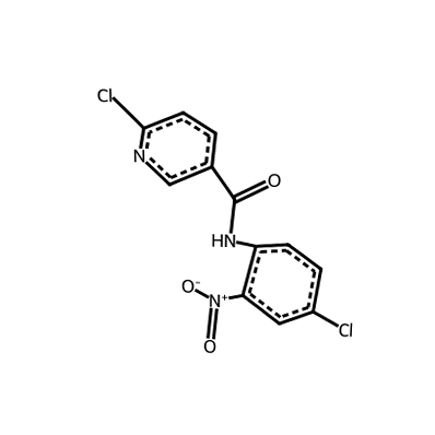 O=C(Nc1ccc(Cl)cc1[N+](=O)[O-])c1ccc(Cl)nc1